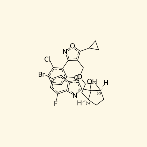 OC1(c2nc3c(F)cc(Br)cc3s2)[C@@H]2CC[C@H]1CC(OCc1c(-c3c(Cl)cccc3Cl)noc1C1CC1)C2